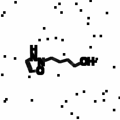 OCCCCN1NC=CO1